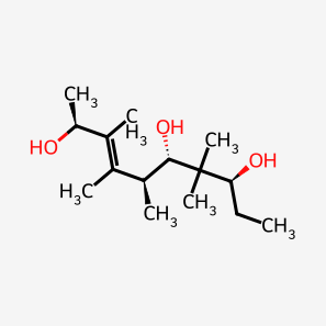 CC[C@H](O)C(C)(C)[C@@H](O)[C@@H](C)/C(C)=C(\C)[C@H](C)O